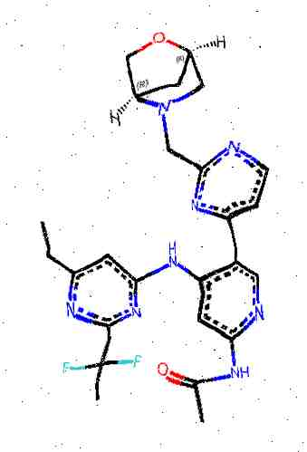 CCc1cc(Nc2cc(NC(C)=O)ncc2-c2ccnc(CN3C[C@H]4C[C@@H]3CO4)n2)nc(C(C)(F)F)n1